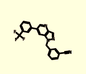 N#Cc1cccc(Cn2ncc3ncc(-c4cccc(C(F)(F)F)c4)cc32)c1